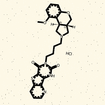 COc1cccc2c1[C@@H]1CN(CCCCn3c(=O)[nH]c4c(sc5cccnc54)c3=O)C[C@H]1CO2.Cl